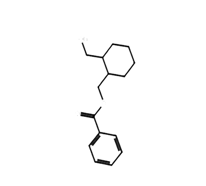 O=C(OCC1CCCCC1CO)c1ccccc1